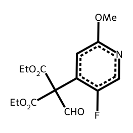 CCOC(=O)C(C=O)(C(=O)OCC)c1cc(OC)ncc1F